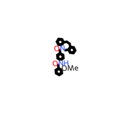 COc1ccccc1C(=O)Nc1ccc(C(=O)N2Cc3ccccc3CCc3ccccc32)cc1